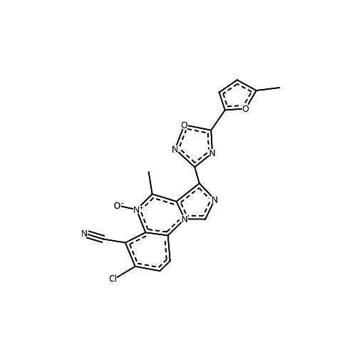 Cc1ccc(-c2nc(-c3ncn4c3c(C)[n+]([O-])c3c(C#N)c(Cl)ccc34)no2)o1